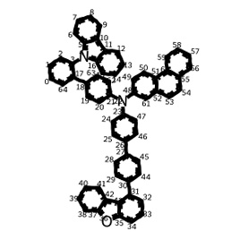 c1ccc(-n2c3ccccc3c3ccccc32)c(-c2ccc(N(c3ccc(-c4ccc(-c5cccc6oc7ccccc7c56)cc4)cc3)c3ccc4c(ccc5ccccc54)c3)cc2)c1